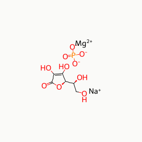 O=C1O[C@H]([C@@H](O)CO)C(O)=C1O.O=P([O-])([O-])[O-].[Mg+2].[Na+]